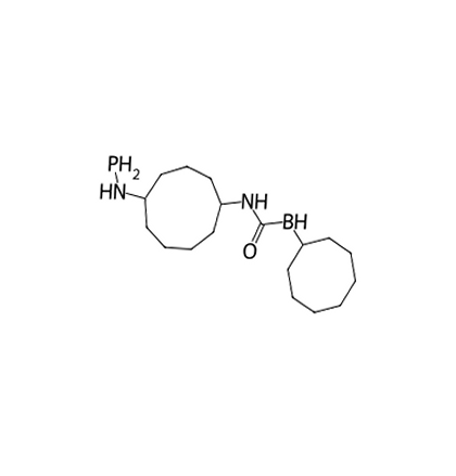 O=C(BC1CCCCCCC1)NC1CCCCC(NP)CCC1